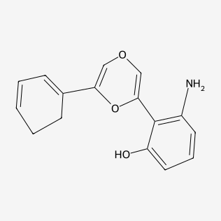 Nc1cccc(O)c1C1=COC=C(C2=CC=CCC2)O1